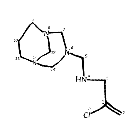 C=C(Cl)CNCN1CN2CCCN(C2)C1